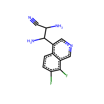 N#CC(N)C(N)c1cncc2c(F)c(F)ccc12